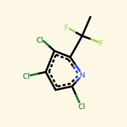 CC(F)(F)c1nc(Cl)cc(Cl)c1Cl